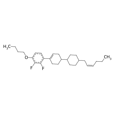 CCC/C=C\CC1CCC(C2CC=C(c3ccc(OCCCC)c(F)c3F)CC2)CC1